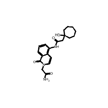 NC(=O)Cn1ccc2c(NC(=O)CC3(O)CCCCCC3)cccc2c1=O